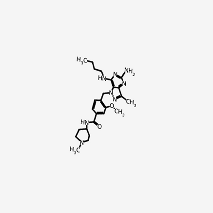 CCCCNc1nc(N)nc2c(C)nn(Cc3ccc(C(=O)NC4CCN(C)CC4)cc3OC)c12